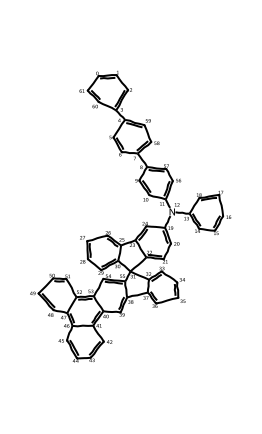 c1ccc(-c2ccc(-c3ccc(N(c4ccccc4)c4ccc5c(c4)-c4ccccc4C54c5ccccc5-c5cc6c7ccccc7c7ccccc7c6cc54)cc3)cc2)cc1